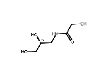 O=C(CO)NC[C@H](O)CO